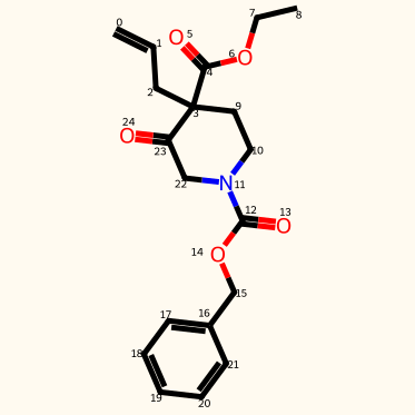 C=CCC1(C(=O)OCC)CCN(C(=O)OCc2ccccc2)CC1=O